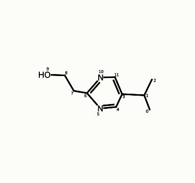 CC(C)c1cnc(CCO)nc1